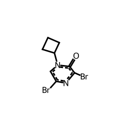 O=c1c(Br)nc(Br)cn1C1CCC1